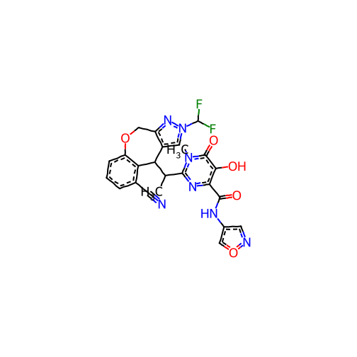 CC(c1nc(C(=O)Nc2cnoc2)c(O)c(=O)n1C)C1c2cn(C(F)F)nc2COc2cccc(C#N)c21